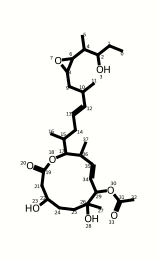 CCC(O)C(C)C1OC1CC(C)/C=C/CC(C)C1OC(=O)CC(O)CCC(C)(O)C(OC(C)=O)/C=C/C1C